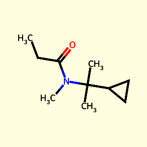 CCC(=O)N(C)C(C)(C)C1CC1